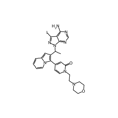 CC(c1cc2ccccn2c1-c1ccn(CCN2CCOCC2)c(=O)c1)n1nc(I)c2c(N)ncnc21